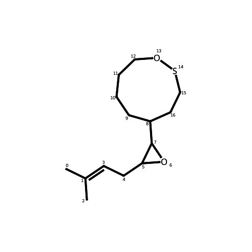 CC(C)=CCC1OC1C1CCCCOSCC1